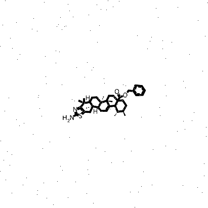 C[C@@H]1CCC2(C(=O)OCc3ccccc3)CC[C@]3(C)C(=CC[C@@H]4[C@@]5(C)Cc6sc(N)nc6C(C)(C)[C@@H]5CC[C@]43C)C2[C@H]1C